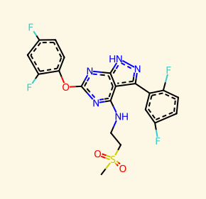 CS(=O)(=O)CCNc1nc(Oc2ccc(F)cc2F)nc2[nH]nc(-c3cc(F)ccc3F)c12